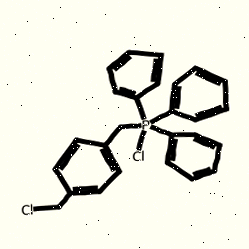 ClCc1ccc(CP(Cl)(c2ccccc2)(c2ccccc2)c2ccccc2)cc1